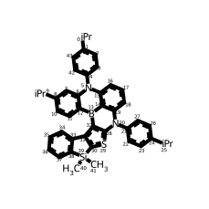 CC(C)c1ccc(N2c3cc(C(C)C)ccc3B3c4c2cccc4N(c2ccc(C(C)C)cc2)c2sc4c(c23)-c2ccccc2[Si]4(C)C)cc1